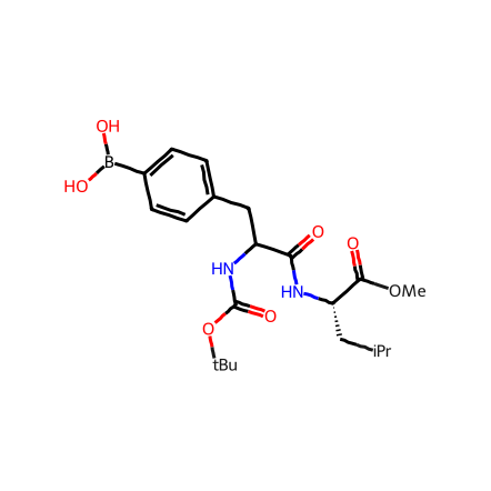 COC(=O)[C@H](CC(C)C)NC(=O)C(Cc1ccc(B(O)O)cc1)NC(=O)OC(C)(C)C